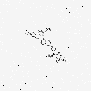 COCOc1c(-c2ncc3cc(N4CCC(N(C)C(=O)OC(C)(C)C)C4)cnc3n2)cc2cn(C)nc2c1C